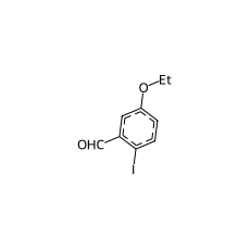 CCOc1ccc(I)c(C=O)c1